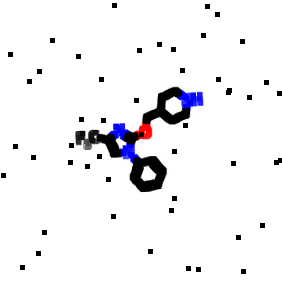 FC(F)(F)c1cn(-c2ccccc2)c(OCC2CCNCC2)n1